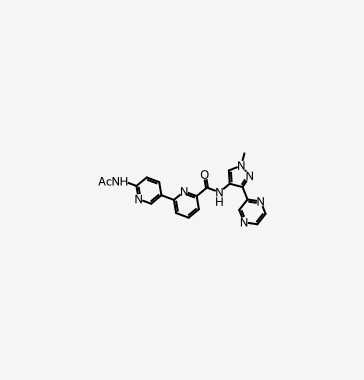 CC(=O)Nc1ccc(-c2cccc(C(=O)Nc3cn(C)nc3-c3cnccn3)n2)cn1